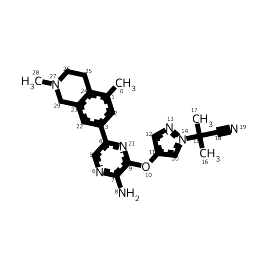 Cc1cc(-c2cnc(N)c(Oc3cnn(C(C)(C)C#N)c3)n2)cc2c1CCN(C)C2